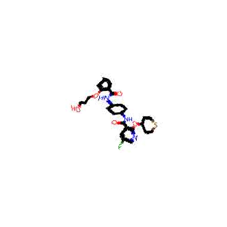 O=C(NC1CCC(NC(=O)c2cc(F)cnc2OC2CCSCC2)CC1)c1ccccc1OCCCO